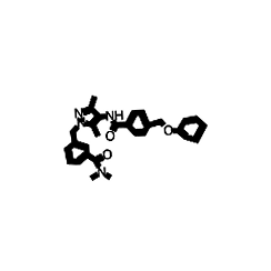 Cc1nn(Cc2cccc(C(=O)N(C)C)c2)c(C)c1NC(=O)c1ccc(COc2ccccc2)cc1